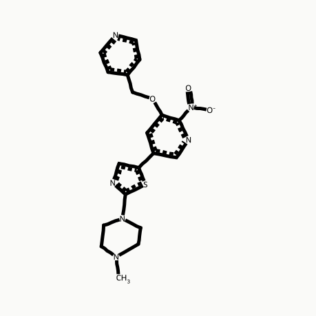 CN1CCN(c2ncc(-c3cnc([N+](=O)[O-])c(OCc4ccncc4)c3)s2)CC1